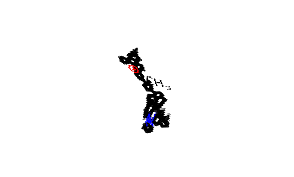 Cc1cc(-c2ccc3ccc4c(N(c5ccccc5)c5ccc6ccccc6c5)ccc5ccc2c3c54)ccc1-c1ccc2oc3c(ccc4c5ccccc5c5ccccc5c43)c2c1